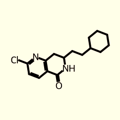 O=C1NC(CCC2CCCCC2)Cc2nc(Cl)ccc21